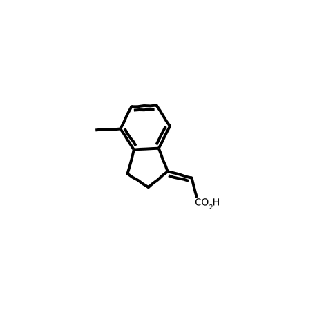 Cc1cccc2c1CCC2=CC(=O)O